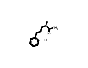 CN(CCCc1ccccc1)C(=N)N.Cl